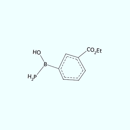 CCOC(=O)c1cccc(B(O)P)c1